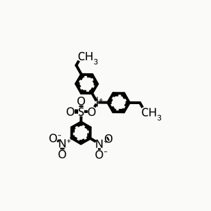 CCc1ccc([I+](OS(=O)(=O)c2cc([N+](=O)[O-])cc([N+](=O)[O-])c2)c2ccc(CC)cc2)cc1